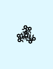 CCc1cccc2c3cccc(CC)c3n(-c3cnc4c(n3)c3ncc(-n5c6c(CC)cccc6c6cccc(CC)c65)nc3c3ncc(-n5c6c(CC)cccc6c6cccc(CC)c65)nc43)c12